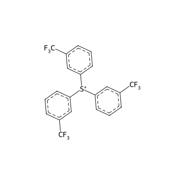 FC(F)(F)c1cccc([S+](c2cccc(C(F)(F)F)c2)c2cccc(C(F)(F)F)c2)c1